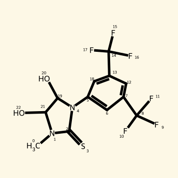 CN1C(=S)N(c2cc(C(F)(F)F)cc(C(F)(F)F)c2)C(O)C1O